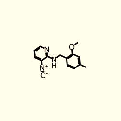 [C-]#[N+]c1cccnc1NCc1ccc(C)cc1OC